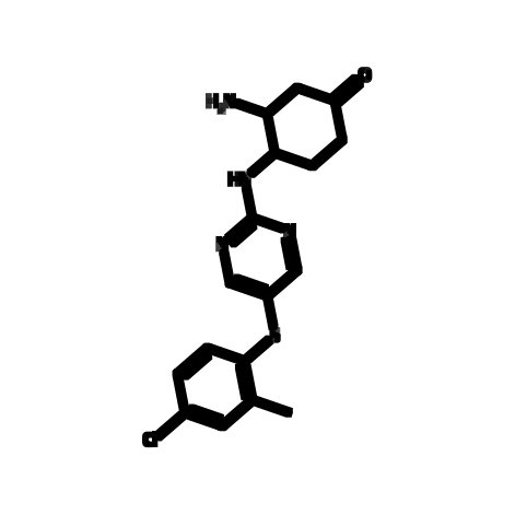 Cc1cc(Cl)ccc1Sc1cnc(NC2CCC(=O)CC2N)nc1